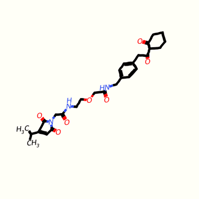 CC(C)C1=CC(=O)N(CC(=O)NCCOCC(=O)NCc2ccc(CC(=O)C3CCCCC3=O)cc2)C1=O